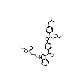 CCOC[C@@H](Oc1ccc(C(=O)c2cn(CCCC(=O)OCC)c3ccccc23)cc1)c1ccc(CC(C)C)cc1